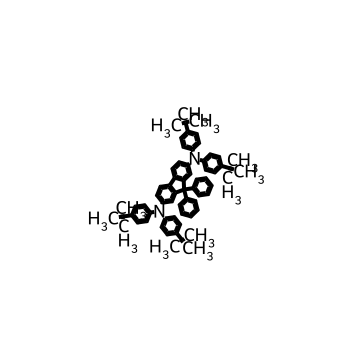 CC(C)(C)c1ccc(N(c2ccc(C(C)(C)C)cc2)c2ccc3c(c2)C(c2ccccc2)(c2ccccc2)c2cc(N(c4ccc(C(C)(C)C)cc4)c4ccc(C(C)(C)C)cc4)ccc2-3)cc1